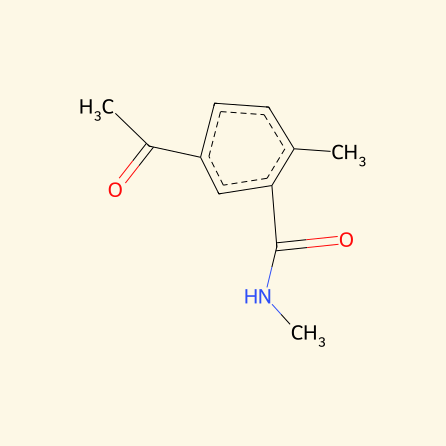 CNC(=O)c1cc(C(C)=O)ccc1C